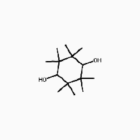 CC1(C)C(O)C(C)(C)C(C)(C)C(O)C1(C)C